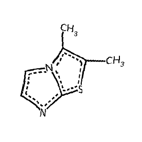 Cc1sc2nccn2c1C